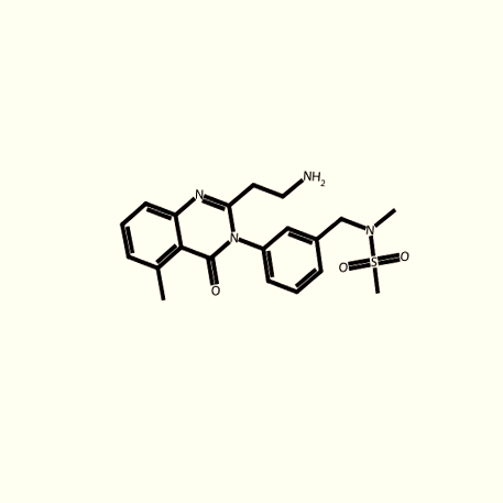 Cc1cccc2nc(CCN)n(-c3cccc(CN(C)S(C)(=O)=O)c3)c(=O)c12